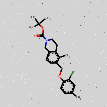 Cc1ccc(OCc2ccc3c(c2C)CCN(C(=O)OC(C)(C)C)C3)c(Br)c1